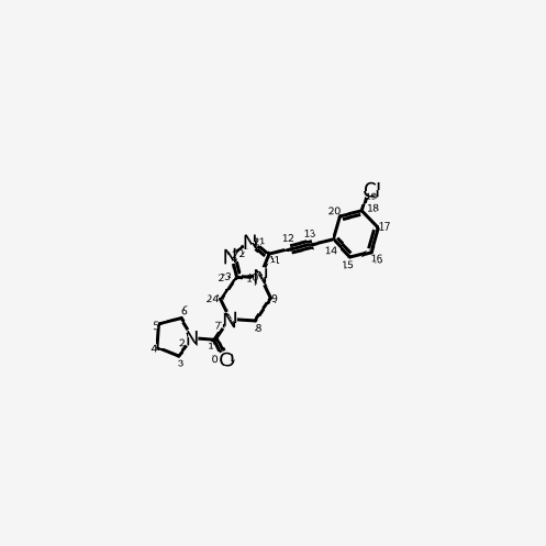 O=C(N1CCCC1)N1CCn2c(C#Cc3cccc(Cl)c3)nnc2C1